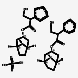 CN1[C@@H]2CC[C@H]1C[C@@H](OC(=O)C(CO)c1ccccc1)C2.CN1[C@@H]2CC[C@H]1C[C@@H](OC(=O)C(CO)c1ccccc1)C2.O=S(=O)(O)O